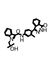 Cc1cc(NC(=O)c2cn(CC(C)(C)O)c3ccccc23)ccc1-c1n[nH]c(=O)c2ccccc12